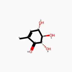 CC1=C[C@H](O)[C@@H](O)[C@H](O)C1=O